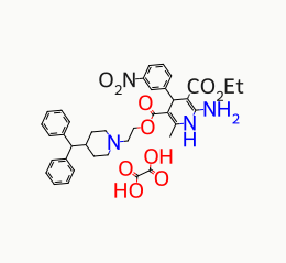 CCOC(=O)C1=C(N)NC(C)=C(C(=O)OCCN2CCC(C(c3ccccc3)c3ccccc3)CC2)C1c1cccc([N+](=O)[O-])c1.O=C(O)C(=O)O